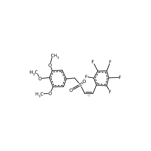 COc1cc(CS(=O)(=O)/C=C\c2c(F)c(F)c(F)c(F)c2F)cc(OC)c1OC